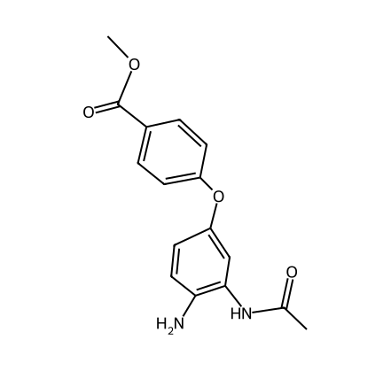 COC(=O)c1ccc(Oc2ccc(N)c(NC(C)=O)c2)cc1